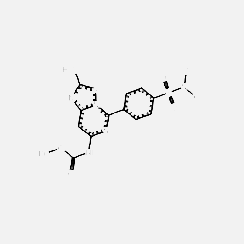 Cc1nc2cc(NC(=O)OC(C)(C)C)nc(-c3ccc(S(=O)(=O)N(C)C)cc3)n2n1